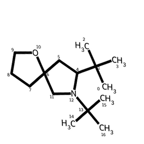 CC(C)(C)C1CC2(CCCO2)CN1C(C)(C)C